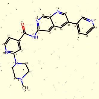 CN1CCN(c2cc(C(=O)Nc3cc4cc(-c5cccnc5)cnc4cn3)ccn2)CC1